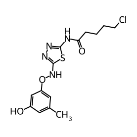 Cc1cc(O)cc(ONc2nnc(NC(=O)CCCCCl)s2)c1